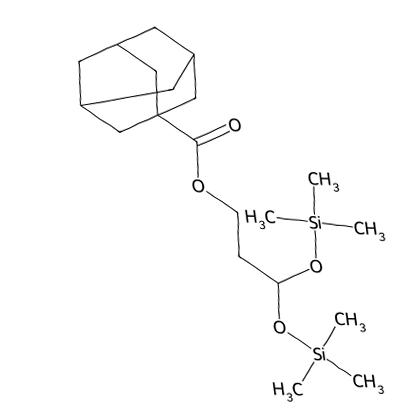 C[Si](C)(C)OC(CCOC(=O)C12CC3CC(CC(C3)C1)C2)O[Si](C)(C)C